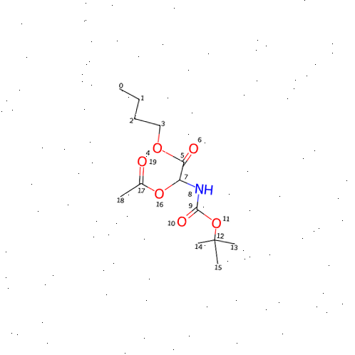 CCCCOC(=O)C(NC(=O)OC(C)(C)C)OC(C)=O